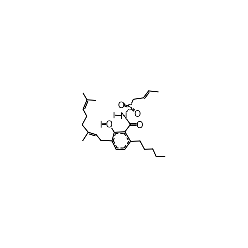 C/C=C/CS(=O)(=O)N(I)C(=O)c1c(CCCCC)ccc(C/C=C(\C)CCC=C(C)C)c1OI